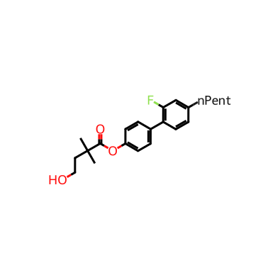 CCCCCc1ccc(-c2ccc(OC(=O)C(C)(C)CCO)cc2)c(F)c1